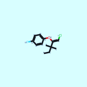 CCC(C)(C)/C(=C/Cl)Oc1ccc(F)cc1